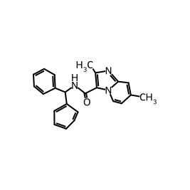 Cc1ccn2c(C(=O)NC(c3ccccc3)c3ccccc3)c(C)nc2c1